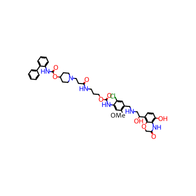 COc1cc(NC(=O)OCCCNC(=O)CCN2CCC(OC(=O)Nc3ccccc3-c3ccccc3)CC2)c(Cl)cc1CNC[C@H](O)c1ccc(O)c2c1OCC(=O)N2